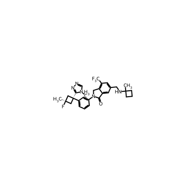 Cn1cnnc1[C@]1(c2cccc(N3Cc4c(cc(CNC5(C)CCC5)cc4C(F)(F)F)C3=O)c2)C[C@@](C)(F)C1